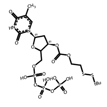 Cc1cn([C@H]2C[C@@H](OC(=O)OCCSSC(C)(C)C)C(COP(=O)(O)OP(=O)(O)OP(=O)(O)O)O2)c(=O)[nH]c1=O